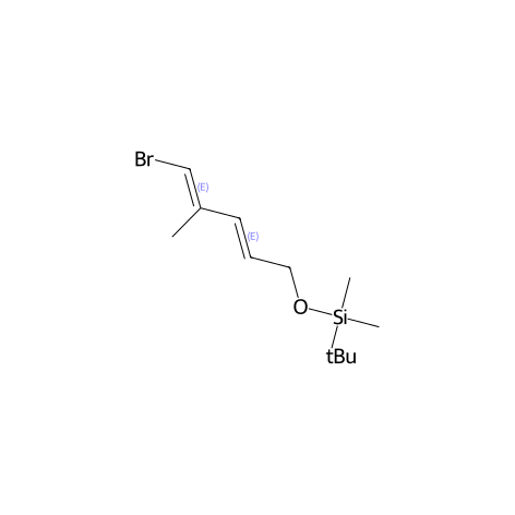 CC(/C=C/CO[Si](C)(C)C(C)(C)C)=C\Br